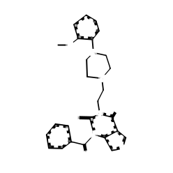 COc1ccccc1N1CCN(CCn2c(=O)c3cscc3n(C(=O)c3ccccc3)c2=O)CC1